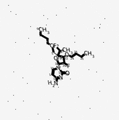 CCCCOC[C@@]1([C@@H](C)F)O[C@@H](n2ccc(N)nc2=O)C(F)[C@@H]1OCCCC